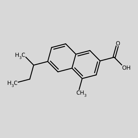 CCC(C)c1ccc2cc(C(=O)O)cc(C)c2c1